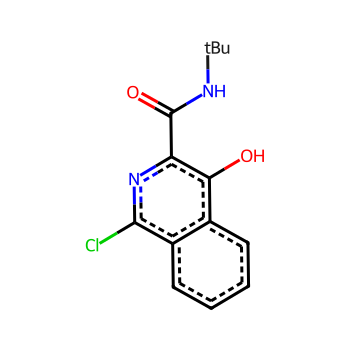 CC(C)(C)NC(=O)c1nc(Cl)c2ccccc2c1O